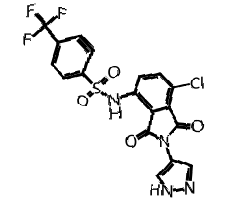 O=C1c2c(Cl)ccc(NS(=O)(=O)c3ccc(C(F)(F)F)cc3)c2C(=O)N1c1cn[nH]c1